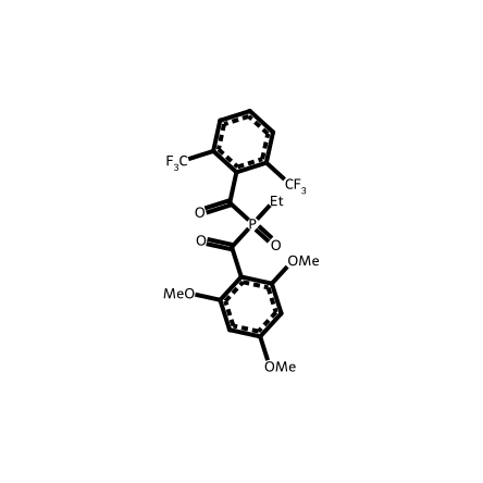 CCP(=O)(C(=O)c1c(OC)cc(OC)cc1OC)C(=O)c1c(C(F)(F)F)cccc1C(F)(F)F